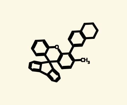 Cc1ccc2c(c1-c1ccc3c(c1)CCCC3)Oc1ccccc1C21c2ccccc2-c2ccccc21